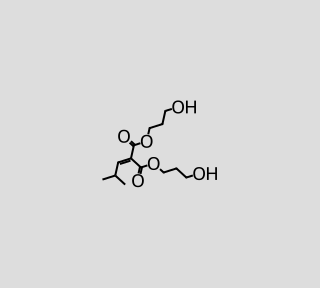 CC(C)C=C(C(=O)OCCCO)C(=O)OCCCO